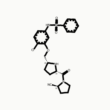 N#C[C@@H]1CCCN1C(=O)[C@@H]1CC[C@H](COc2cc(NS(=O)(=O)c3ccccc3)ccc2Cl)N1